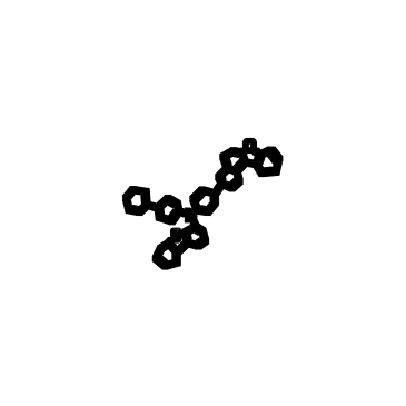 c1ccc2c(c#1)oc1ccc3cc(-c4ccc(N(c5ccc(C6=CCCC=C6)cc5)c5cccc6c5SC5CC=CC=C65)cc4)ccc3c12